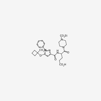 CCOC(=O)N1CCN(C(=O)C(CCC(=O)O)NC(=O)c2cc(OC3(C(=O)O)CCC3)n(-c3ccccc3)n2)CC1